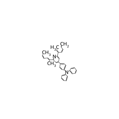 C=C/C=C\C(=C/C)c1cc(-c2ccc(N(c3ccccc3)c3ccccc3)cc2)cc(/C(C)=C/C=C\C)n1